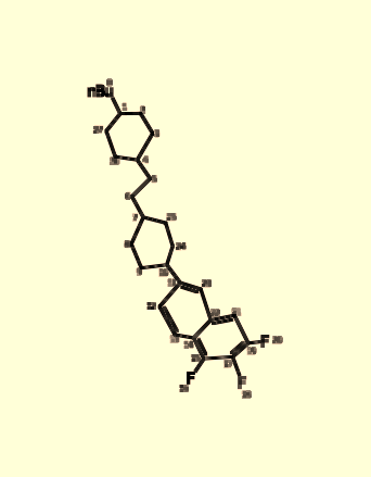 CCCCC1CCC(CCC2CCC(c3ccc4c(F)c(F)c(F)cc4c3)CC2)CC1